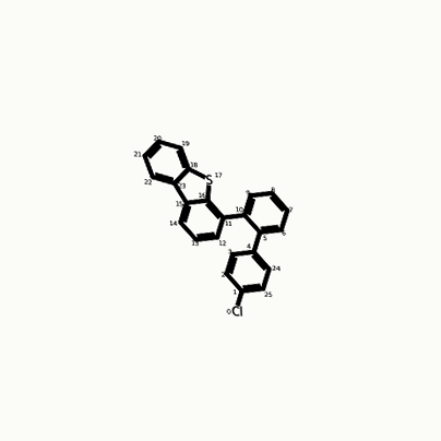 Clc1ccc(-c2ccccc2-c2cccc3c2sc2ccccc23)cc1